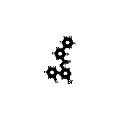 C=C(Cc1ccc(Br)cc1-c1ccccc1C)c1cccc(-c2ccccc2)c1